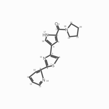 O=C(c1cc(-c2csc(-c3ccccn3)n2)c[nH]1)N1CCCC1